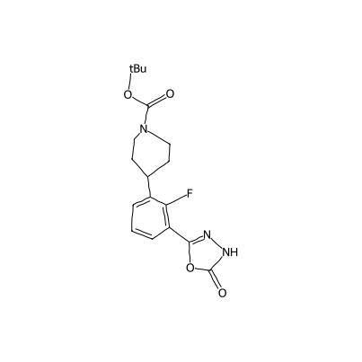 CC(C)(C)OC(=O)N1CCC(c2cccc(-c3n[nH]c(=O)o3)c2F)CC1